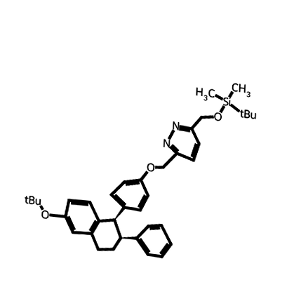 CC(C)(C)Oc1ccc2c(c1)CC[C@H](c1ccccc1)[C@@H]2c1ccc(OCc2ccc(CO[Si](C)(C)C(C)(C)C)nn2)cc1